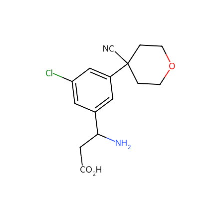 N#CC1(c2cc(Cl)cc(C(N)CC(=O)O)c2)CCOCC1